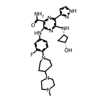 CN1CCN(C2CCN(c3ccc(Nc4nc(N[C@H]5C[C@@H](O)C5)c(-c5cc[nH]n5)nc4C(N)=O)cc3F)CC2)CC1